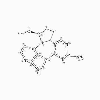 CO[C@H]1CCCN1c1ccnc2[nH]cc(-c3ccnc(N)n3)c12